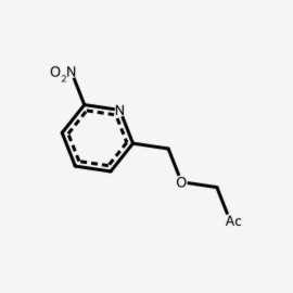 CC(=O)COCc1cccc([N+](=O)[O-])n1